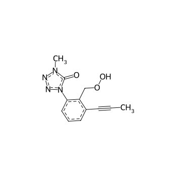 CC#Cc1cccc(-n2nnn(C)c2=O)c1COO